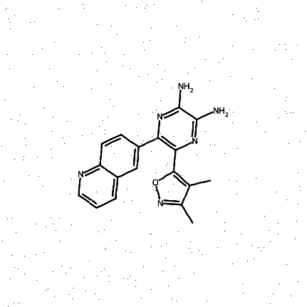 Cc1noc(-c2nc(N)c(N)nc2-c2ccc3ncccc3c2)c1C